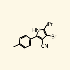 Cc1ccc(-c2[nH]c(C(C)C)c(Br)c2C#N)cc1